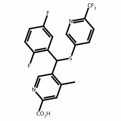 Cc1cc(C(=O)O)ncc1C(Sc1ccc(C(F)(F)F)nc1)c1cc(F)ccc1F